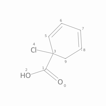 O=C(O)C1(Cl)C=CC=[C]C1